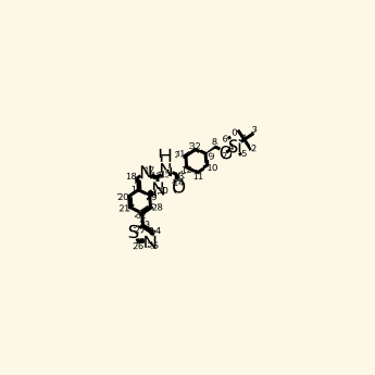 CC(C)(C)[Si](C)(C)OC[C@H]1CC[C@H](C(=O)Nc2ncc3ccc(-c4cncs4)cc3n2)CC1